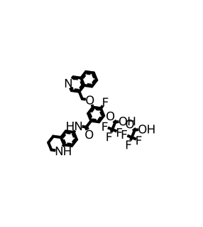 O=C(Nc1ccc2c(c1)CCCN2)c1ccc(F)c(OCc2cncc3ccccc23)c1.O=C(O)C(F)(F)F.O=C(O)C(F)(F)F